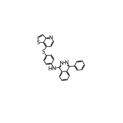 c1ccc(-c2nnc(Nc3ccc(Sc4ccnc5ccsc45)cc3)c3ccccc23)cc1